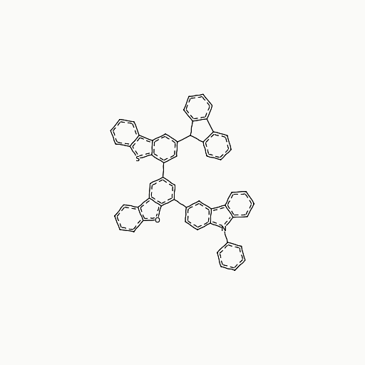 c1ccc(-n2c3ccccc3c3cc(-c4cc(-c5cc(C6c7ccccc7-c7ccccc76)cc6c5sc5ccccc56)cc5c4oc4ccccc45)ccc32)cc1